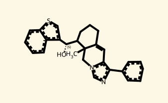 CC12Cn3cnc(-c4ccccc4)c3C=C1CCCC2[C@H](O)c1csc2ccccc12